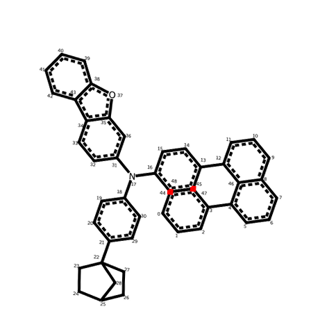 c1ccc(-c2cccc3cccc(-c4ccc(N(c5ccc(C67CCC(CC6)C7)cc5)c5ccc6c(c5)oc5ccccc56)cc4)c23)cc1